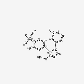 Cc1cncc(-c2noc(CF)c2-c2ccc(S(C)(=O)=O)c(F)c2)c1